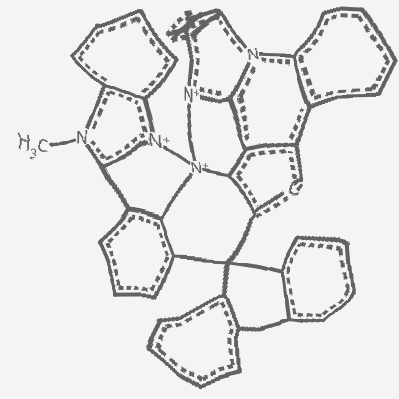 Cn1c2[n+](c3ccccc31)[N+]13c4c-2cccc4C2(c4ccccc4-c4ccccc42)c2ccc4c5ccccc5n5c6ccccc6[n+]1c5c4c23